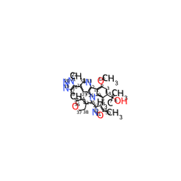 COc1cc(C(C)(C)O)cc2c1c1ncc(-c3c(C)nnn3C)cc1n2C(c1cc(C)on1)C1CCOCC1